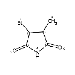 CCC1C(=O)NC(=O)C1C